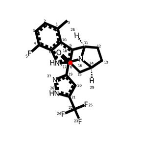 Cc1ccc(F)c2[nH]c3c(c12)[C@H]1CC[C@@H](C3)N1C(=O)c1cc(C(F)(F)F)[nH]n1